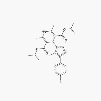 CC1=C(C(=O)OC(C)C)C(c2cnn(-c3ccc(F)cc3)c2C)C(C(=O)OC(C)C)=C(C)N1